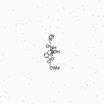 COCCOC(=O)c1cccc2c1OB(O)[C@@H](NC(=O)CCn1ccnc1)C2